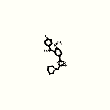 C=Nc1ccc(-c2n[nH]c(CN3CCCCC3)n2)cc1C(=N)c1ccc(F)cc1